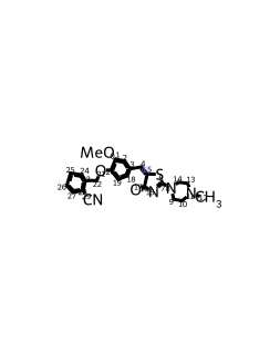 COc1cc(/C=C2/SC(N3CCN(C)CC3)=NC2=O)ccc1OCc1ccccc1C#N